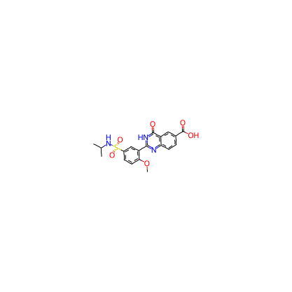 COc1ccc(S(=O)(=O)NC(C)C)cc1-c1nc2ccc(C(=O)O)cc2c(=O)[nH]1